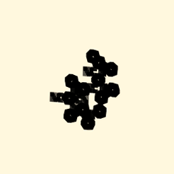 N#Cc1cc(-n2c3ccccc3c3ccccc32)c(C#N)c(-n2c3ccccc3c3c4c5ccccc5n(-c5cccc(-c6ccc7c(c6)c6ccccc6n7-c6cc(-n7c8ccccc8c8cc9ccccc9cc87)c(C#N)cc6C#N)c5)c4ccc32)c1